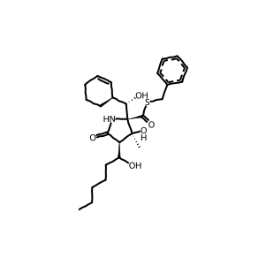 CCCCCC(O)[C@H]1C(=O)N[C@](C(=O)SCc2ccccc2)([C@@H](O)[C@@H]2C=CCCC2)[C@@]1(C)O